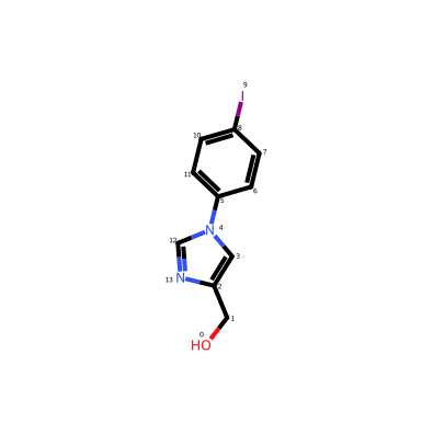 OCc1cn(-c2ccc(I)cc2)cn1